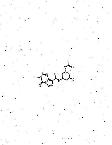 CC(=O)OC1CC(Cl)CC(NC(=O)c2ncn3c(=O)n(C)nnc23)C1